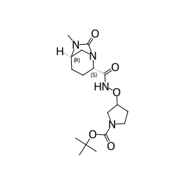 CN1C(=O)N2C[C@H]1CC[C@H]2C(=O)NOC1CCN(C(=O)OC(C)(C)C)C1